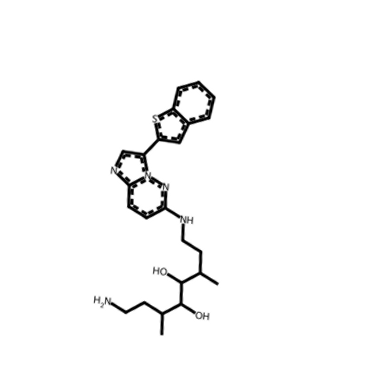 CC(CCN)C(O)C(O)C(C)CCNc1ccc2ncc(-c3cc4ccccc4s3)n2n1